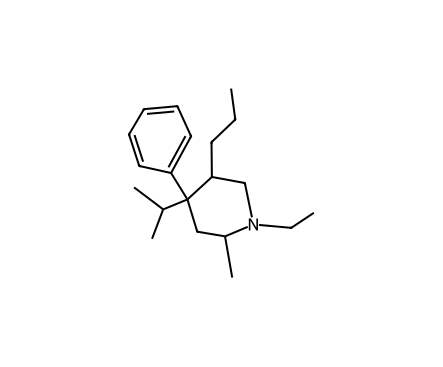 CCCC1CN(CC)C(C)CC1(c1ccccc1)C(C)C